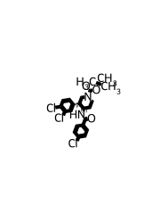 CC(C)(C)OC(=O)N1CC[C@@H](NC(=O)c2ccc(Cl)cc2)[C@H](c2ccc(Cl)c(Cl)c2)C1